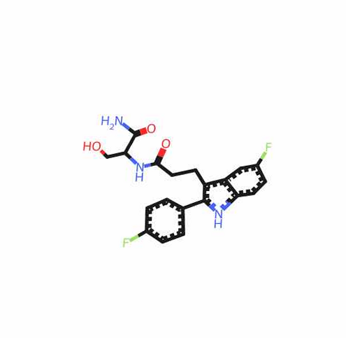 NC(=O)C(CO)NC(=O)CCc1c(-c2ccc(F)cc2)[nH]c2ccc(F)cc12